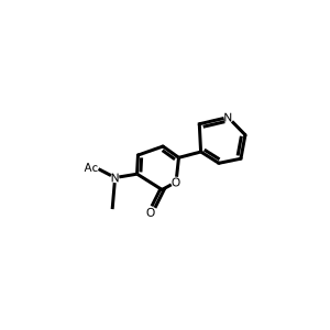 CC(=O)N(C)c1ccc(-c2cccnc2)oc1=O